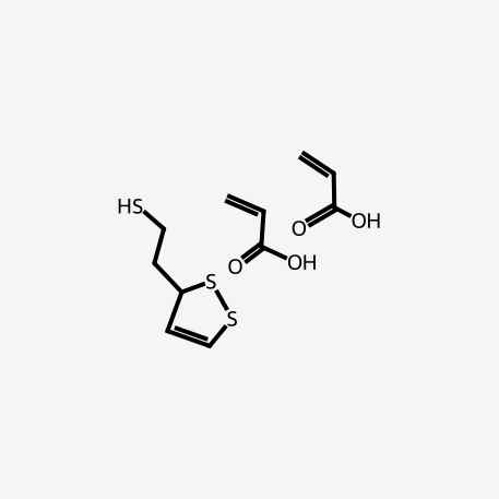 C=CC(=O)O.C=CC(=O)O.SCCC1C=CSS1